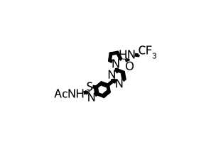 CC(=O)Nc1nc2ccc(-c3nccc(N4CCC[C@@H]4C(=O)NCC(F)(F)F)n3)cc2s1